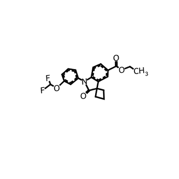 CCOC(=O)c1ccc2c(c1)C1(CCC1)C(=O)N2c1cccc(OC(F)F)c1